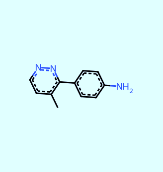 Cc1ccnnc1-c1ccc(N)cc1